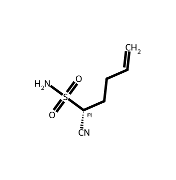 C=CCC[C@H](C#N)S(N)(=O)=O